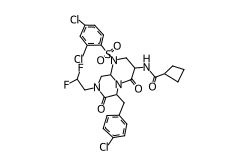 O=C(NC1CN(S(=O)(=O)c2ccc(Cl)cc2Cl)C2CN(CC(F)F)C(=O)C(Cc3ccc(Cl)cc3)N2C1=O)C1CCC1